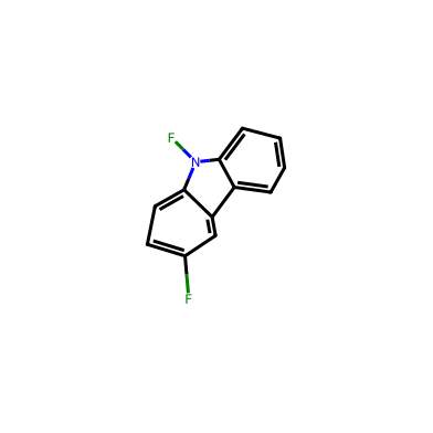 Fc1ccc2c(c1)c1ccccc1n2F